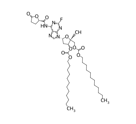 C#C[C@]1(COC(=O)OCCCCCCCCCCCC)O[C@@H](n2cnc3c(NC(=O)[C@H]4CCC(=O)O4)nc(F)nc32)C[C@@H]1OC(=O)OCCCCCCCCCCCC